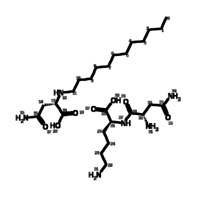 CCCCCCCCCCCCN[C@@H](CC(N)=O)C(=O)O.NCCCC[C@H](NC(=O)[C@@H](N)CC(N)=O)C(=O)O